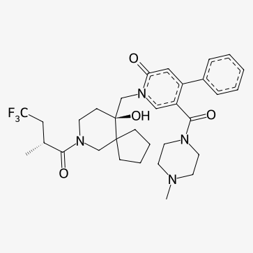 C[C@H](CC(F)(F)F)C(=O)N1CC[C@](O)(Cn2cc(C(=O)N3CCN(C)CC3)c(-c3ccccc3)cc2=O)C2(CCCC2)C1